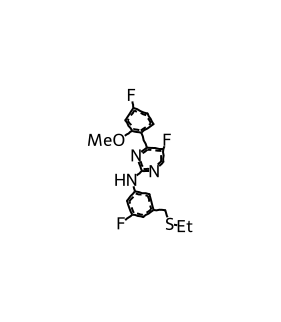 CCSCc1cc(F)cc(Nc2ncc(F)c(-c3ccc(F)cc3OC)n2)c1